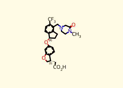 CN1CCN(Cc2c(C(F)(F)F)ccc3c2CC[C@H]3Oc2ccc3c(c2)OC[C@H]3CC(=O)O)CC1=O